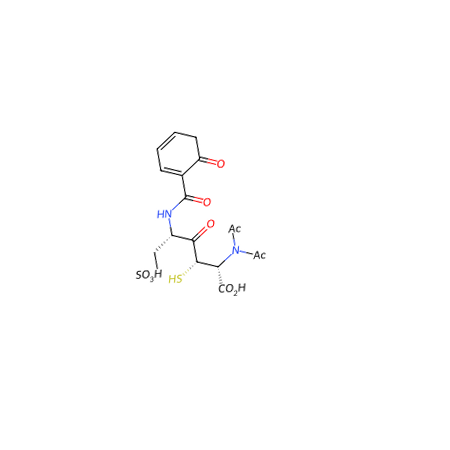 CC(=O)N(C(C)=O)[C@H](C(=O)O)[C@H](S)C(=O)[C@H](CS(=O)(=O)O)NC(=O)C1=CC=CCC1=O